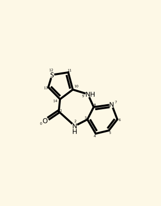 O=C1Nc2cccnc2Nc2cscc21